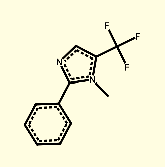 Cn1c(C(F)(F)F)cnc1-c1ccccc1